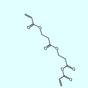 C=CC(=O)OCCC(=O)OCCC(=O)OC(=O)C=C